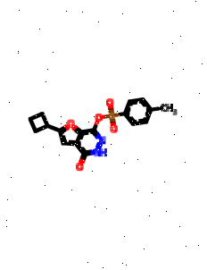 Cc1ccc(S(=O)(=O)Oc2n[nH]c(=O)c3cc(C4CCC4)oc23)cc1